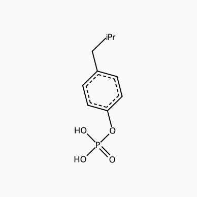 CC(C)Cc1ccc(OP(=O)(O)O)cc1